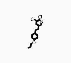 CCCOc1ccc(CCc2cnc(Cl)c(Cl)c2)cc1